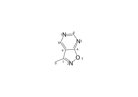 Cc1noc2ncncc12